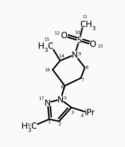 Cc1cc(C(C)C)n(C2CCN(S(C)(=O)=O)C(C)C2)n1